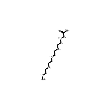 CCCOCCOCCOCCOCCOCC(=O)C(C)C